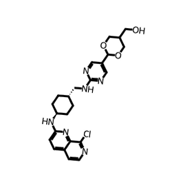 OCC1COC(c2cnc(NC[C@H]3CC[C@H](Nc4ccc5ccnc(Cl)c5n4)CC3)nc2)OC1